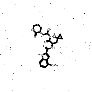 COc1cccc2[nH]c(C(=O)NC(CC3(C)CC3)C(=O)NC(C#N)C[C@@H]3CCCNC3=O)cc12